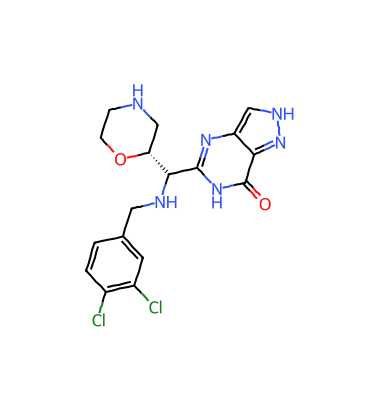 O=c1[nH]c(C(NCc2ccc(Cl)c(Cl)c2)[C@H]2CNCCO2)nc2c[nH]nc12